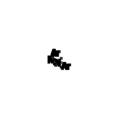 [Ar].[Ar].[N].[N]